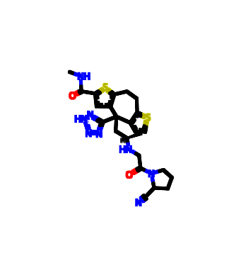 CNC(=O)c1cc2c(s1)CCc1sccc1C2(C[C@@H](C)NCC(=O)N1CCCC1C#N)c1nn[nH]n1